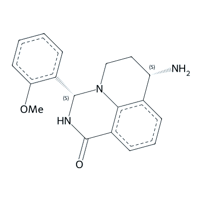 COc1ccccc1[C@H]1NC(=O)c2cccc3c2N1CC[C@@H]3N